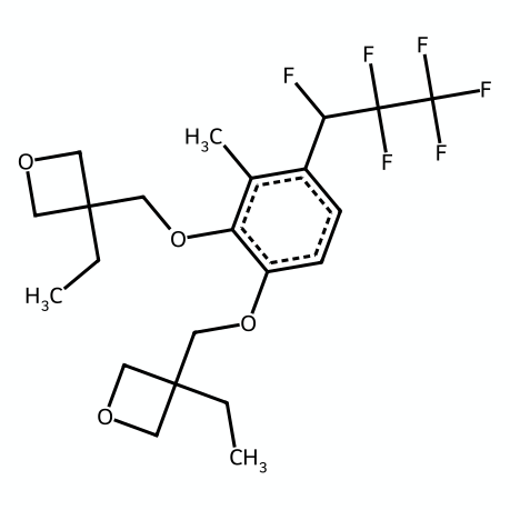 CCC1(COc2ccc(C(F)C(F)(F)C(F)(F)F)c(C)c2OCC2(CC)COC2)COC1